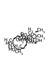 C/C=C/[C@H]1O[C@@](O)([C@@H](C)[C@H](O)[C@H](C)[C@H]2OC(=O)/C(OC)=C/C(C)=C/[C@@H](C)[C@@H](O)[C@@H](CC)[C@@H](O)[C@H](C)C/C(C)=C/C=C/[C@@H]2OC)C[C@@H](O)[C@@H]1C